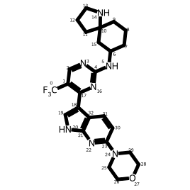 FC(F)(F)c1cnc(NC2CCCC3(CCCN3)C2)nc1-c1c[nH]c2nc(N3CCOCC3)ccc12